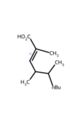 CCCCC(C)C(C)/C=C(\C)C(=O)O